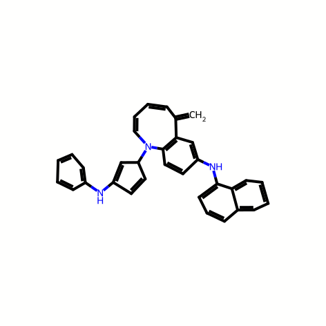 C=C1/C=C\C=C/N(C2C=CC(Nc3ccccc3)=C2)c2ccc(Nc3cccc4ccccc34)cc21